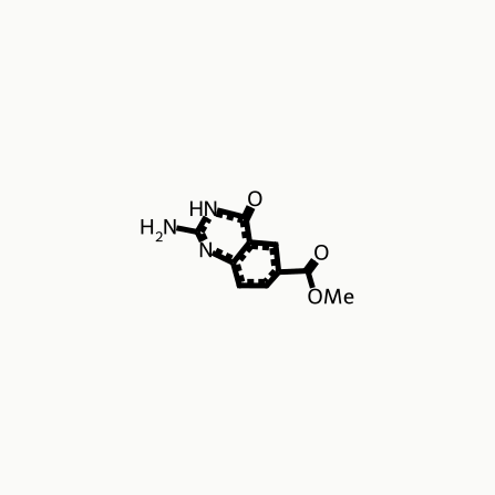 COC(=O)c1ccc2nc(N)[nH]c(=O)c2c1